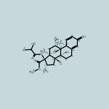 COC(=O)[C@@]1(OC(=O)C(Cl)Cl)[C@@H](C)C[C@H]2[C@@H]3CCC4=CC(=O)C=C[C@]4(C)[C@@]3(Cl)[C@@H](O)C[C@@]21C